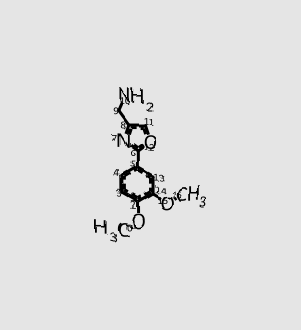 COc1ccc(-c2nc(CN)co2)cc1OC